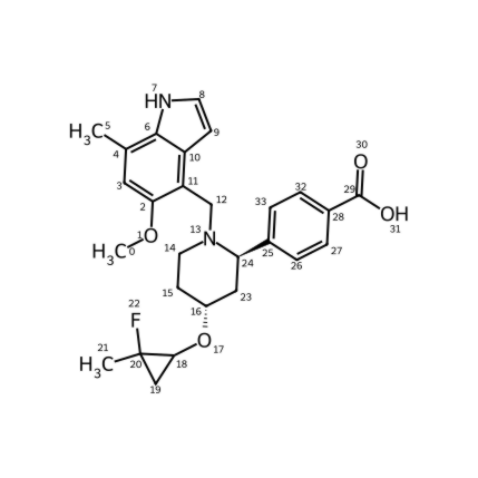 COc1cc(C)c2[nH]ccc2c1CN1CC[C@@H](OC2CC2(C)F)C[C@@H]1c1ccc(C(=O)O)cc1